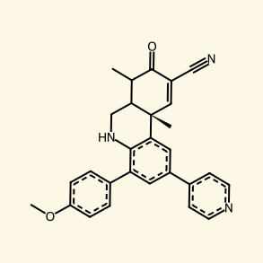 COc1ccc(-c2cc(-c3ccncc3)cc3c2NCC2C(C)C(=O)C(C#N)=C[C@]32C)cc1